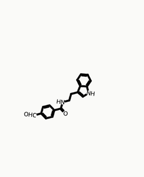 O=Cc1ccc(C(=O)NCCc2c[nH]c3ccccc23)cc1